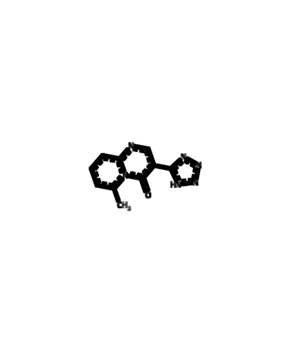 Cc1cccc2ncc(-c3nnn[nH]3)c(=O)n12